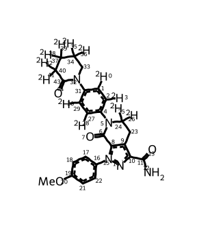 [2H]c1c([2H])c(N2C(=O)c3c(c(C(N)=O)nn3-c3ccc(OC)cc3)CC2([2H])[2H])c([2H])c([2H])c1N1CC([2H])([2H])C([2H])([2H])C([2H])([2H])C1=O